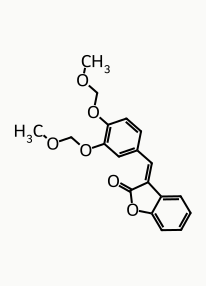 COCOc1ccc(C=C2C(=O)Oc3ccccc32)cc1OCOC